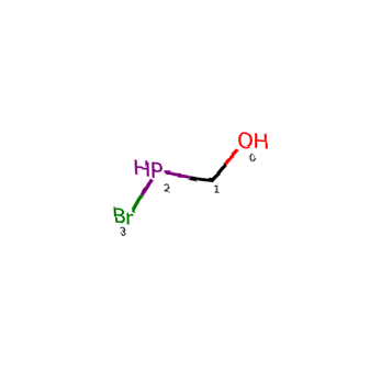 OCPBr